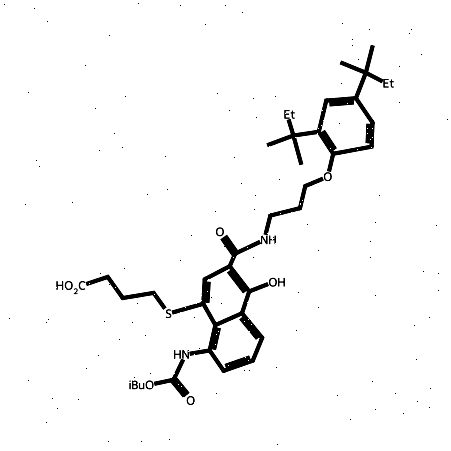 CCC(C)(C)c1ccc(OCCCNC(=O)c2cc(SCCCC(=O)O)c3c(NC(=O)OCC(C)C)cccc3c2O)c(C(C)(C)CC)c1